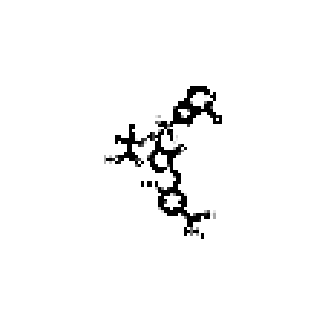 N=C(N)c1ccc(O)c(CN2CCC(NS(=O)(=O)c3cc4c(Cl)nccc4s3)C2=O)c1.O=C(O)C(F)(F)F